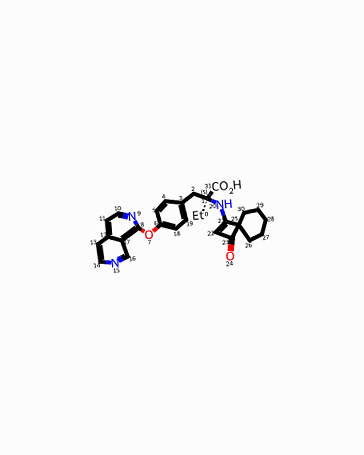 CC[C@@](Cc1ccc(Oc2nccc3ccncc23)cc1)(NC1=CC(=O)C12CCCCC2)C(=O)O